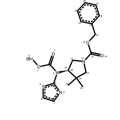 CC(C)(C)OC(=O)N(c1nccs1)[C@H]1CN(C(=O)OCc2ccccc2)CC1(C)C